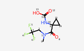 CN(CC(F)(F)F)C(=O)C1(NC(=O)O)CC1